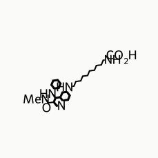 CNC(=O)c1cnc2ccc(NCCCCCCCCCCNC(=O)O)cc2c1Nc1ccccc1